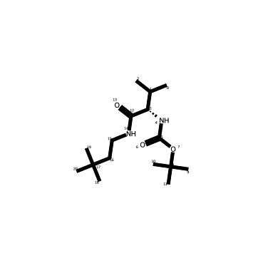 CC(C)[C@H](NC(=O)OC(C)(C)C)C(=O)NCCC(C)(C)C